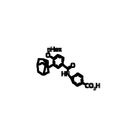 CCCCCCOc1ccc(C(=O)Nc2ccc(C(=O)O)cc2)cc1C12CC3CC(CC(C3)C1)C2